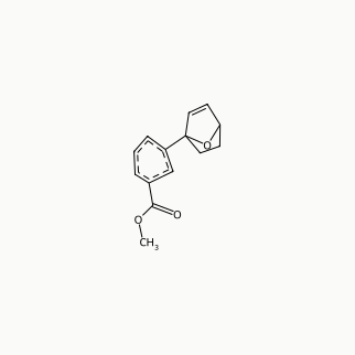 COC(=O)c1cccc(C23C=CC(CC2)O3)c1